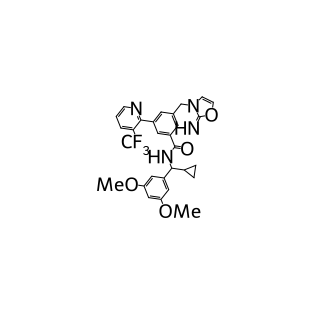 COc1cc(OC)cc(C(NC(=O)c2cc(Cn3ccoc3=N)cc(-c3ncccc3C(F)(F)F)c2)C2CC2)c1